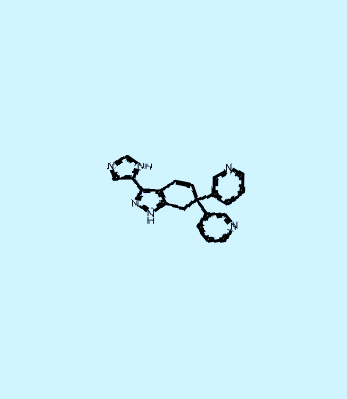 C1=CC(c2cccnc2)(c2cccnc2)Cc2[nH]nc(-c3cnc[nH]3)c21